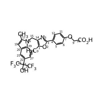 Cc1oc(-c2ccc(OCC(=O)O)cc2)nc1Cn1c(C)cc2cc(C(O)(C(F)(F)F)C(F)(F)F)ccc21